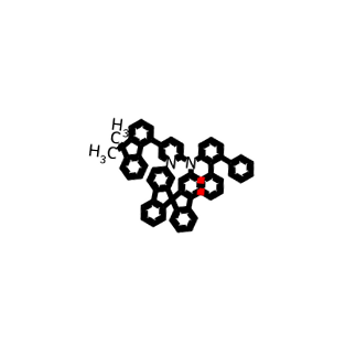 CC1(C)c2ccccc2-c2c(-c3ccc(N(c4ccc5c(c4)C4(c6ccccc6-c6ccccc64)c4ccccc4-5)c4cccc(-c5ccccc5)c4-c4ccccc4)nc3)cccc21